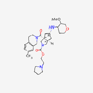 COC1COCCC1N[C@@H]1C[C@H]2CN(C(=O)OCCN3CCCC3)C[C@@]2(C(=O)N2CCc3ccc(C(F)(F)F)cc3C2)C1